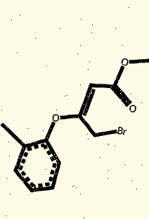 CCOC(=O)C=C(CBr)Oc1ccccc1C